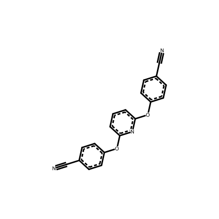 N#Cc1ccc(Oc2cccc(Oc3ccc(C#N)cc3)n2)cc1